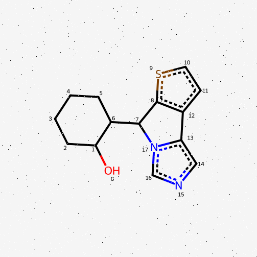 OC1CCCCC1C1c2sccc2-c2cncn21